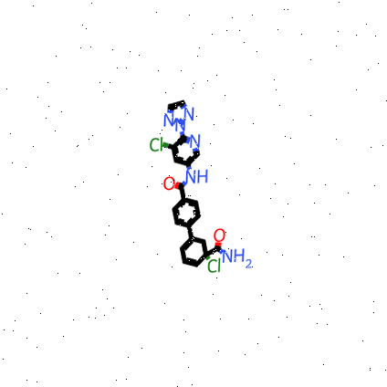 NC(=O)C1(Cl)C=CC=C(c2ccc(C(=O)Nc3cnc(-n4nccn4)c(Cl)c3)cc2)C1